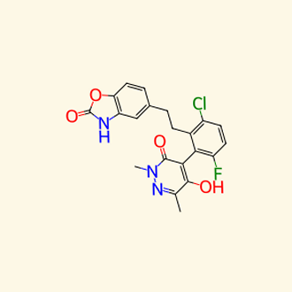 Cc1nn(C)c(=O)c(-c2c(F)ccc(Cl)c2CCc2ccc3oc(=O)[nH]c3c2)c1O